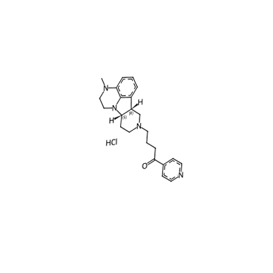 CN1CCN2c3c(cccc31)[C@@H]1CN(CCCC(=O)c3ccncc3)CC[C@@H]12.Cl